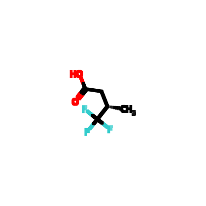 C[C@@H](CC(=O)O)C(F)(F)F